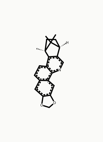 CC1(C)[C@H]2CC[C@]1(C)c1c2cnc2c1ccc1cc3c(cc12)OCO3